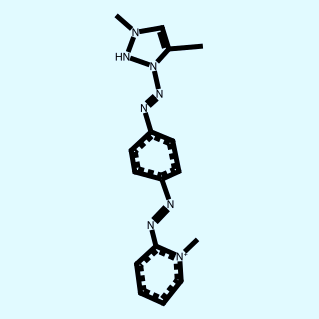 CC1=CN(C)NN1N=Nc1ccc(N=Nc2cccc[n+]2C)cc1